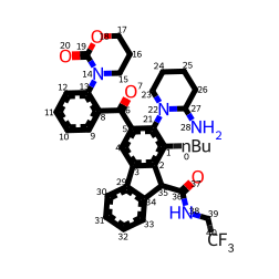 CCCCc1c2c(cc(C(=O)c3ccccc3N3CCCOC3=O)c1N1CCCCC1N)-c1ccccc1C2C(=O)NCC(F)(F)F